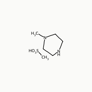 CN1CCNCC1.CS(=O)(=O)O